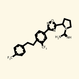 N=C(N)N1CCCC1c1nc(-c2ccc(CCc3ccc(C(F)(F)F)cc3)c(C(F)(F)F)c2)no1